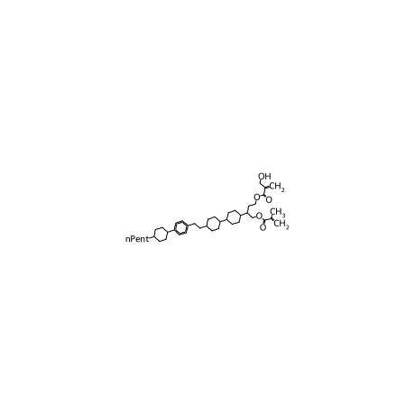 C=C(C)C(=O)OCC(CCOC(=O)C(=C)CO)C1CCC(C2CCC(CCc3ccc(C4CCC(CCCCC)CC4)cc3)CC2)CC1